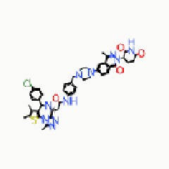 Cc1sc2c(c1C)C(c1ccc(Cl)cc1)=N[C@@H](CC(=O)Nc1ccc(CN3CCN(c4ccc5c(=O)n(C6CCC(=O)NC6=O)nc(C)c5c4)CC3)cc1)c1nnc(C)n1-2